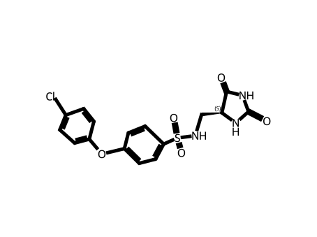 O=C1NC(=O)[C@H](CNS(=O)(=O)c2ccc(Oc3ccc(Cl)cc3)cc2)N1